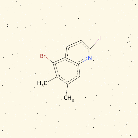 Cc1cc2nc(I)ccc2c(Br)c1C